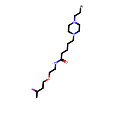 CC(C)CCN1CCN(CCCCC(=O)NCCOCCC(C)I)CC1